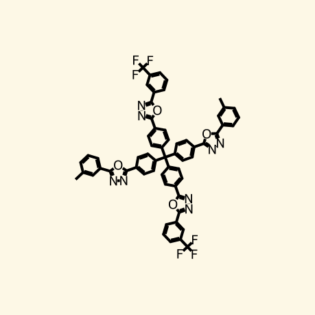 Cc1cccc(-c2nnc(-c3ccc(C(c4ccc(-c5nnc(-c6cccc(C)c6)o5)cc4)(c4ccc(-c5nnc(-c6cccc(C(F)(F)F)c6)o5)cc4)c4ccc(-c5nnc(-c6cccc(C(F)(F)F)c6)o5)cc4)cc3)o2)c1